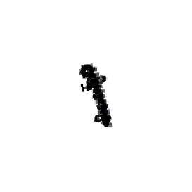 CCOC(=O)/C=C/COCCCOCCCNC(=O)OCc1ccccc1